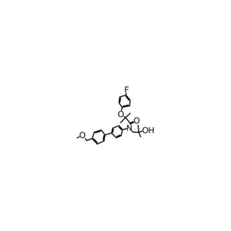 COCc1ccc(-c2ccc(N(CC(C)(C)O)C(=O)C(C)(C)Oc3ccc(F)cc3)cc2)cc1